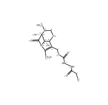 O=C(CCl)NNC(=O)OCC1=C(C(=O)O)N2C(=O)[C@@H]3[C@H]2C1OCN3C(=O)O